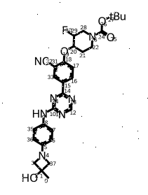 CC1(O)CN(c2ccc(Nc3ncnc(-c4ccc(OC5CCN(C(=O)OC(C)(C)C)CC5F)c(C#N)c4)n3)cc2)C1